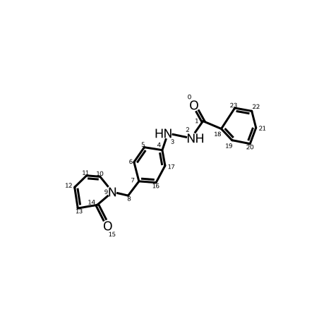 O=C(NNc1ccc(Cn2ccccc2=O)cc1)c1ccccc1